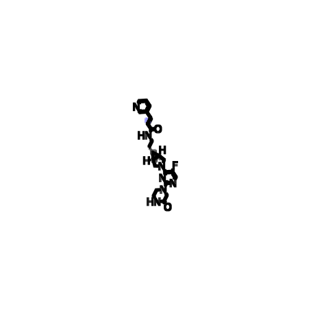 O=C(/C=C/c1cccnc1)NCC[C@@H]1[C@H]2CN(c3nc(N4CCNC(=O)C4)ncc3F)C[C@@H]12